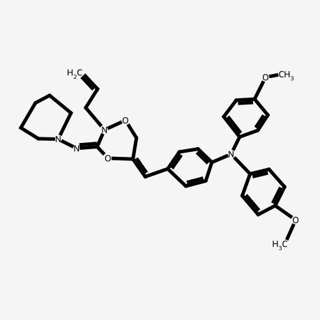 C=CCN1OC/C(=C\c2ccc(N(c3ccc(OC)cc3)c3ccc(OC)cc3)cc2)OC1=NN1CCCCC1